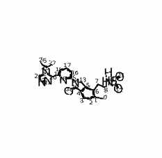 Cc1ccc2c(c1CCN[SH](=O)=O)CN(c1cccc(-c3nncn3C(C)C)n1)C2=O